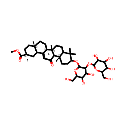 COC(=O)[C@@]1(C)CC[C@]2(C)CC[C@]3(C)C(=CC(=O)C4[C@@]5(C)CCC(OC6OC(CO)C(O)C(O)C6OC6OC(CO)C(O)C(O)C6O)C(C)(C)C5CC[C@]43C)C2C1